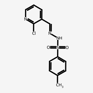 Cc1ccc(S(=O)(=O)N/N=C/c2cccnc2Cl)cc1